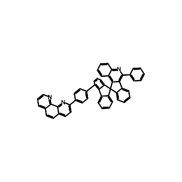 c1ccc(-c2nc3ccccc3c3c2-c2ccccc2C32c3ccccc3-c3c(-c4ccc(-c5ccc6ccc7cccnc7c6n5)cc4)cccc32)cc1